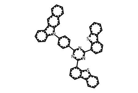 c1ccc2cc3c(cc2c1)c1ccccc1n3-c1ccc(-c2nc(-c3cccc4c3sc3ccccc34)nc(-c3cccc4c3sc3ccccc34)n2)cc1